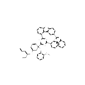 C=C/C=C(\CC)OC1=CC=CC(Sc2ccccc2NC)(c2nc(-c3ccccc3)nc(-c3cccc4oc5ccc(-c6nc7ccccc7s6)cc5c34)n2)C1